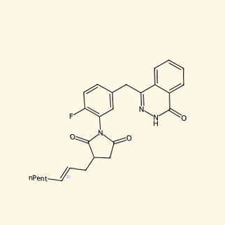 CCCCC/C=C/CC1CC(=O)N(c2cc(Cc3n[nH]c(=O)c4ccccc34)ccc2F)C1=O